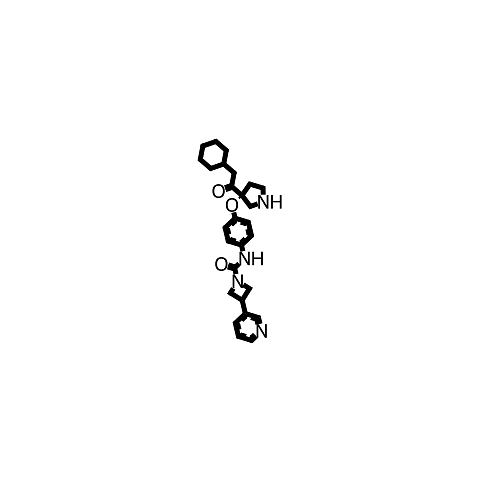 O=C(Nc1ccc(O[C@]2(C(=O)CC3CCCCC3)CCNC2)cc1)N1CC(c2cccnc2)C1